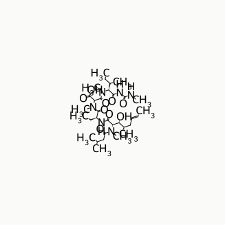 C/C=C/C[C@@H](C)[C@@H](O)[C@@H](C(=O)N[C@@H](CC)C(=O)N(C)C(C(=O)O)C(=O)N(C)[C@H](C(=O)NC(=O)NC)C(C)CC)N(C)C(=O)CC(C)C